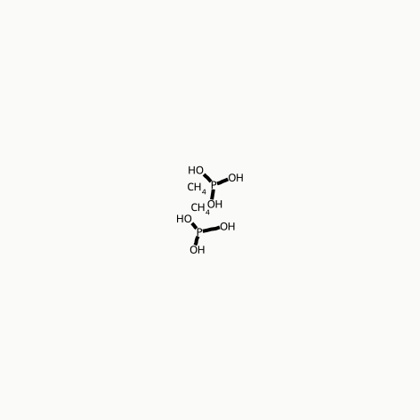 C.C.OP(O)O.OP(O)O